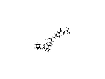 CC(=O)N1CCCC1C(=O)Nc1ccc(CCc2ccc3nc(C4CCCN4C(=O)Cc4ccccc4)[nH]c3c2)cc1